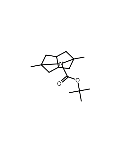 CC(C)(C)OC(=O)N1C2(C)CC3CC1(C)CC3C2